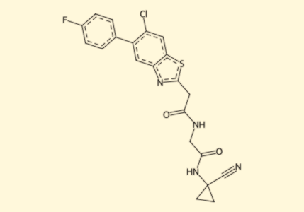 N#CC1(NC(=O)CNC(=O)Cc2nc3cc(-c4ccc(F)cc4)c(Cl)cc3s2)CC1